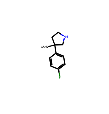 CNC1(c2ccc(F)cc2)CCNC1